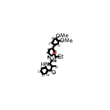 C/C=C(\C=C/C1=NC(c2[nH]c3ccccc3c(=O)c2C)=NC(CC)C1)c1ccc(OC)c(OC)c1